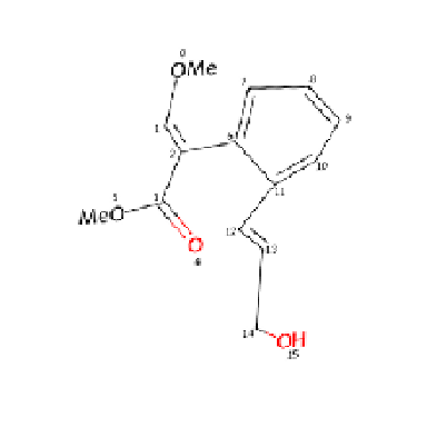 CO/C=C(/C(=O)OC)c1ccccc1/C=C/CO